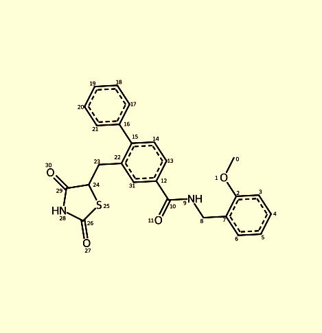 COc1ccccc1CNC(=O)c1ccc(-c2ccccc2)c(CC2SC(=O)NC2=O)c1